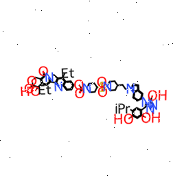 CCc1c2c(nc3ccc(OC(=O)N4CCC(S(=O)(=O)N5CCC(CCn6ccc7cc(-n8c(O)nnc8-c8cc(C(C)C)c(O)cc8O)ccc76)CC5)CC4)cc13)-c1cc3c(c(=O)n1C2)COC(=O)[C@]3(O)CC